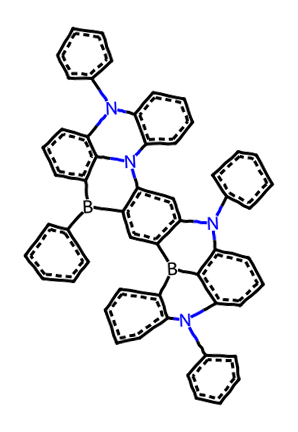 c1ccc(B2c3cc4c(cc3N3c5ccccc5N(c5ccccc5)c5cccc2c53)N(c2ccccc2)c2cccc3c2B4c2ccccc2N3c2ccccc2)cc1